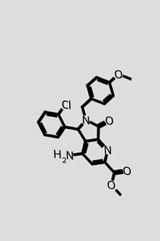 COC(=O)c1cc(N)c2c(n1)C(=O)N(Cc1ccc(OC)cc1)C2c1ccccc1Cl